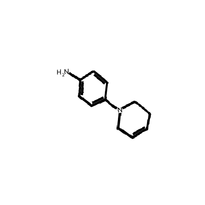 Nc1ccc(N2CC=CCC2)cc1